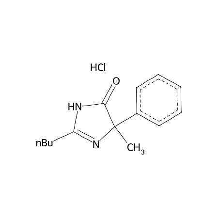 CCCCC1=NC(C)(c2ccccc2)C(=O)N1.Cl